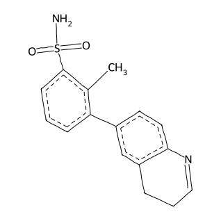 Cc1c(-c2ccc3c(c2)CCC=N3)cccc1S(N)(=O)=O